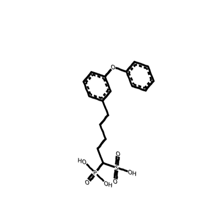 O=P(O)(O)C(CCCCc1cccc(Oc2ccccc2)c1)S(=O)(=O)O